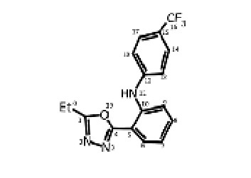 CCc1nnc(-c2ccccc2Nc2ccc(C(F)(F)F)cc2)o1